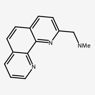 CNCc1ccc2ccc3cccnc3c2n1